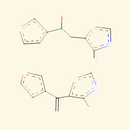 C=C(c1ccoc1)c1ocnc1C.Cc1ncoc1CC(O)c1ccoc1